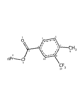 CCCOC(=O)c1ccc(C)c(C(F)(F)F)c1